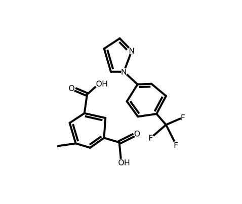 Cc1cc(C(=O)O)cc(C(=O)O)c1.FC(F)(F)c1ccc(-n2cccn2)cc1